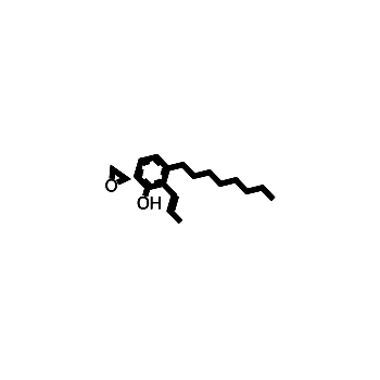 C1CO1.CC=Cc1c(O)cccc1CCCCCCCC